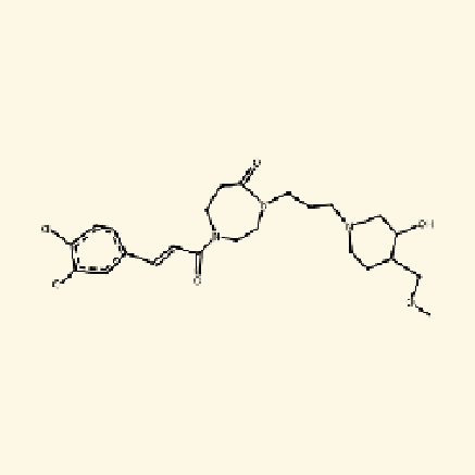 COCC1CCN(CCCN2CCN(C(=O)/C=C/c3ccc(Cl)c(Cl)c3)CCC2=O)CC1O